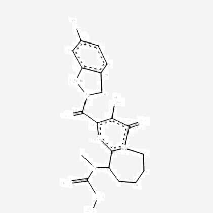 CN(C(=O)OC(C)(C)C)C1CCCCn2c1nc(C(=O)N1Cc3ccc(F)cc3N1)c(O)c2=O